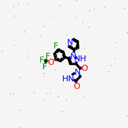 O=C1CN(C(=O)C2C=C(c3cc(F)cc(OC(F)(F)F)c3)N(c3cccnc3)N2)CN1